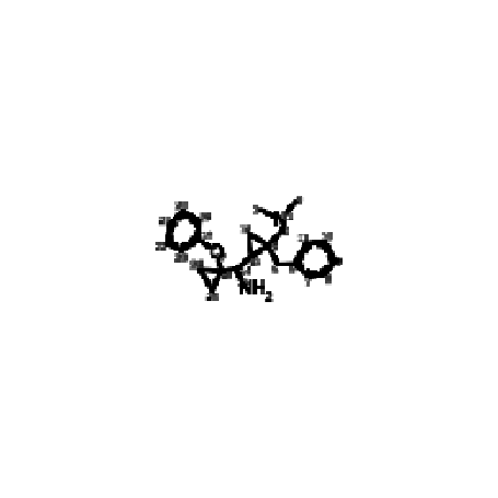 CN(C)CC1(Cc2ccccc2)CC1C(N)C1(Oc2ccccc2)CC1